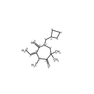 CN1C(=O)C(C)(C)CN(CC2CCC2)C(=N)/C1=C\N